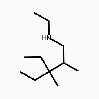 CCNCC(C)C(C)(CC)CC